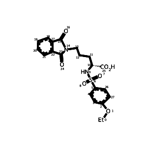 CCOc1ccc(S(=O)(=O)N[C@H](CCCN2C(=O)c3ccccc3C2=O)C(=O)O)cc1